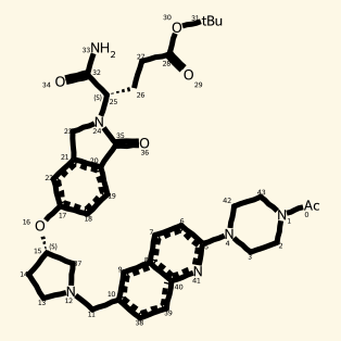 CC(=O)N1CCN(c2ccc3cc(CN4CC[C@H](Oc5ccc6c(c5)CN([C@@H](CCC(=O)OC(C)(C)C)C(N)=O)C6=O)C4)ccc3n2)CC1